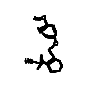 COc1ccc(OCC2=C(C(C)(C)O)CCCC2)cn1